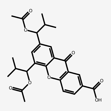 CC(=O)OC(c1cc(C(OC(C)=O)C(C)C)c2oc3ccc(C(=O)O)cc3c(=O)c2c1)C(C)C